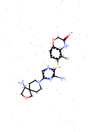 Nc1nc(N2CCC3(CC2)COC[C@H]3N)cnc1Sc1ccc2c(c1Cl)NC(=O)CO2